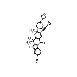 CC1(C)C2=C(C=C(C#CC3CC3)C(C)(N3CCN(C4COC4)CC3)C2)C(=O)c2c1[nH]c1cc(C#N)ccc21